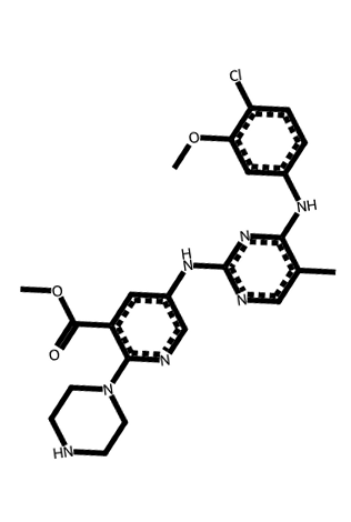 COC(=O)c1cc(Nc2ncc(C)c(Nc3ccc(Cl)c(OC)c3)n2)cnc1N1CCNCC1